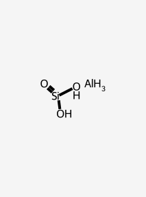 O=[Si](O)O.[AlH3]